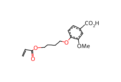 C=CC(=O)OCCCCOc1ccc(C(=O)O)cc1OC